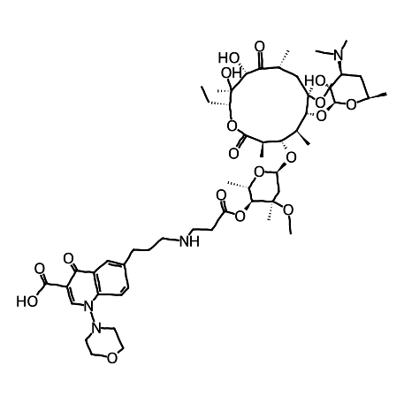 CC[C@H]1OC(=O)[C@H](C)[C@@H](O[C@H]2C[C@@](C)(OC)[C@@H](OC(=O)CCNCCCc3ccc4c(c3)c(=O)c(C(=O)O)cn4N3CCOCC3)[C@H](C)O2)[C@H](C)[C@@H](O[C@@H]2O[C@H](C)C[C@H](N(C)C)[C@H]2O)[C@](C)(OC)C[C@@H](C)C(=O)[C@@H](O)[C@]1(C)O